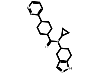 O=C(C1CCC(c2cccnn2)CC1)N(C1CC1)C1CCc2[nH]ncc2C1